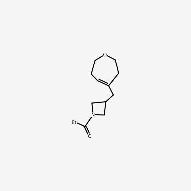 CCC(=O)N1CC(CC2=CCCOCC2)C1